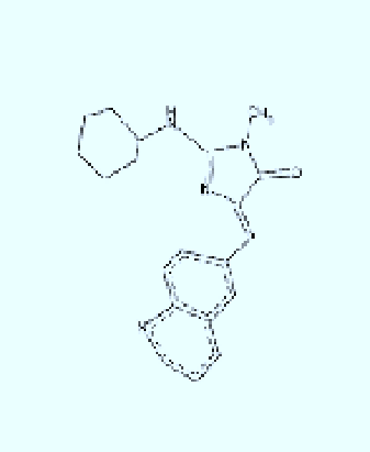 CN1C(=O)/C(=C/c2ccc3ncccc3c2)N=C1NC1CCCCC1